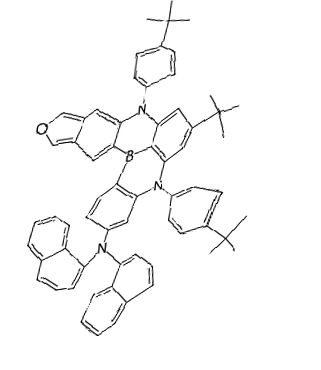 CC(C)(C)c1ccc(N2c3cc(N(c4cccc5ccccc45)c4cccc5ccccc45)ccc3B3c4cc5cocc5cc4N(c4ccc(C(C)(C)C)cc4)c4cc(C(C)(C)C)cc2c43)cc1